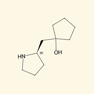 OC1(C[C@H]2CCCN2)CCCC1